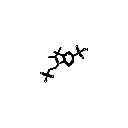 CC1=[N+](CCS(=O)(=O)[O-])c2ccc(S(=O)(=O)O)cc2C1(C)C